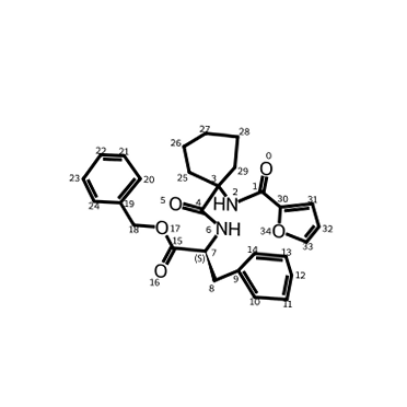 O=C(NC1(C(=O)N[C@@H](Cc2ccccc2)C(=O)OCc2ccccc2)CCCCC1)c1ccco1